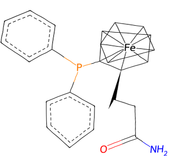 CC(CC(N)=O)[C@@]12[CH]3[CH]4[CH]5[C]1(P(c1ccccc1)c1ccccc1)[Fe]45321678[CH]2[CH]1[CH]6[CH]7[CH]28